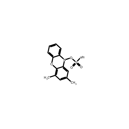 CCCS(=O)(=O)ON1c2ccccc2Oc2c(C)cc(C)cc21